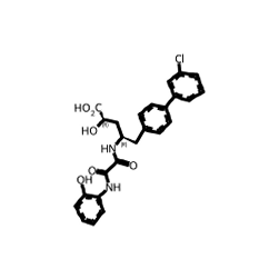 O=C(Nc1ccccc1O)C(=O)N[C@H](Cc1ccc(-c2cccc(Cl)c2)cc1)C[C@@H](O)C(=O)O